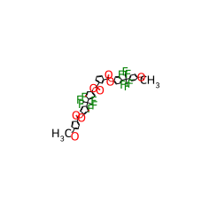 COc1ccc(C(c2ccc(OC(=O)c3cccc(C(=O)Oc4ccc(C(c5ccc(OC(=O)c6ccc(C(C)=O)cc6)cc5)(C(F)(F)F)C(F)(F)F)cc4)c3)cc2)(C(F)(F)F)C(F)(F)F)cc1